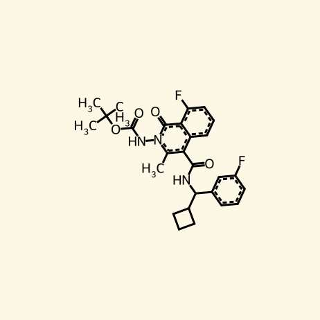 Cc1c(C(=O)NC(c2cccc(F)c2)C2CCC2)c2cccc(F)c2c(=O)n1NC(=O)OC(C)(C)C